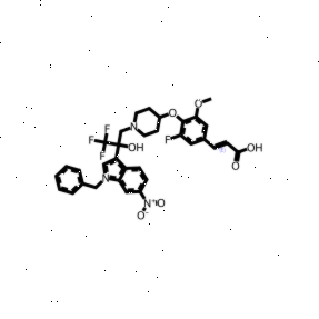 COc1cc(/C=C/C(=O)O)cc(F)c1OC1CCN(CC(O)(c2cn(Cc3ccccc3)c3cc([N+](=O)[O-])ccc23)C(F)(F)F)CC1